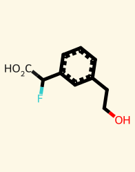 O=C(O)C(F)c1cccc(CCO)c1